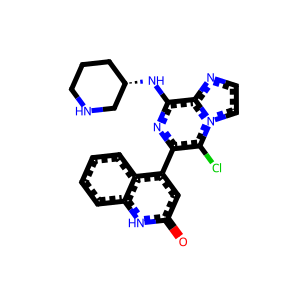 O=c1cc(-c2nc(N[C@H]3CCCNC3)c3nccn3c2Cl)c2ccccc2[nH]1